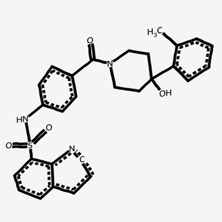 Cc1ccccc1C1(O)CCN(C(=O)c2ccc(NS(=O)(=O)c3cccc4cccnc34)cc2)CC1